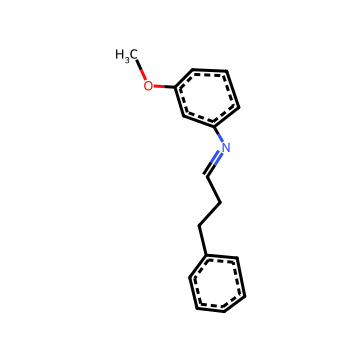 COc1cccc(N=CCCc2ccccc2)c1